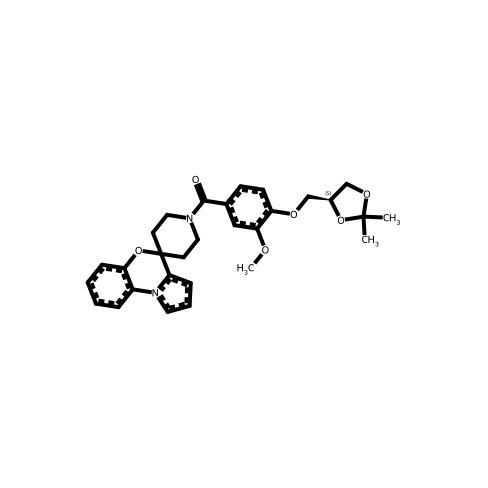 COc1cc(C(=O)N2CCC3(CC2)Oc2ccccc2-n2cccc23)ccc1OC[C@H]1COC(C)(C)O1